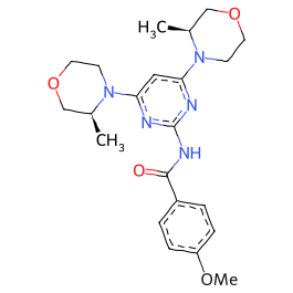 COc1ccc(C(=O)Nc2nc(N3CCOC[C@@H]3C)cc(N3CCOC[C@@H]3C)n2)cc1